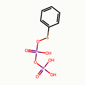 O=P(O)(O)OP(=O)(O)OSc1ccccc1